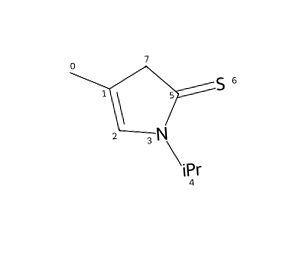 CC1=CN(C(C)C)C(=S)C1